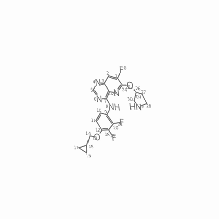 Fc1cc2ncnc(Nc3ccc(OCC4CC4)c(F)c3F)c2nc1O[C@H]1CCNC1